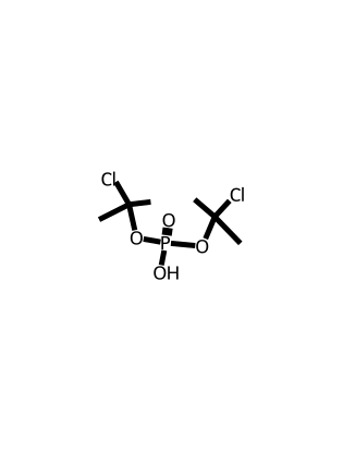 CC(C)(Cl)OP(=O)(O)OC(C)(C)Cl